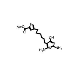 COC(=O)c1cc(CCCCCCc2c(N)nc(N)nc2O)cs1